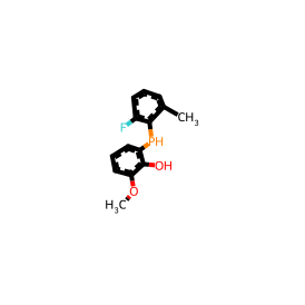 COc1cccc(Pc2c(C)cccc2F)c1O